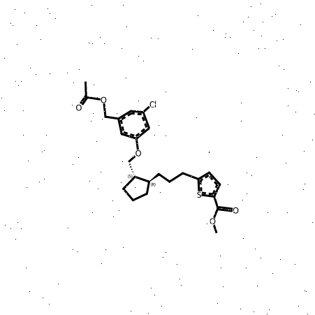 COC(=O)c1ccc(CCC[C@H]2CCC[C@@H]2COc2cc(Cl)cc(COC(C)=O)c2)s1